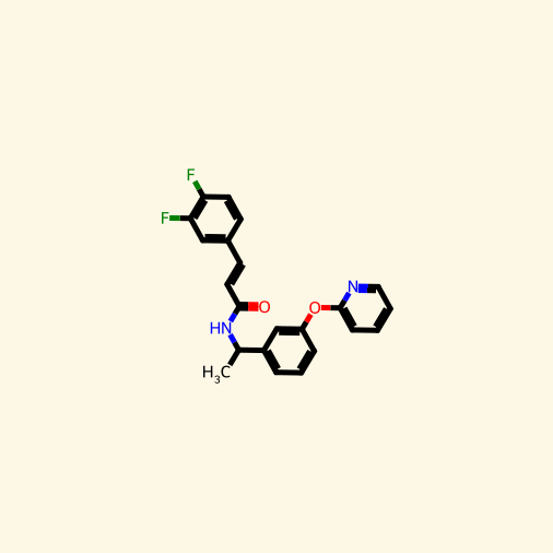 CC(NC(=O)C=Cc1ccc(F)c(F)c1)c1cccc(Oc2ccccn2)c1